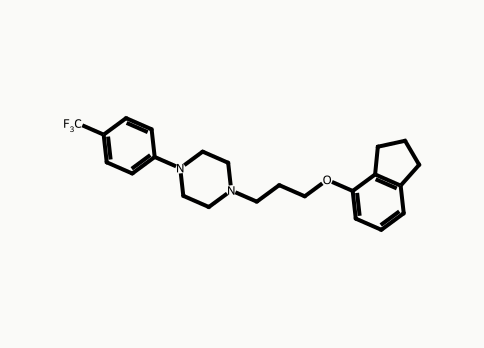 FC(F)(F)c1ccc(N2CCN(CCCOc3cccc4c3CCC4)CC2)cc1